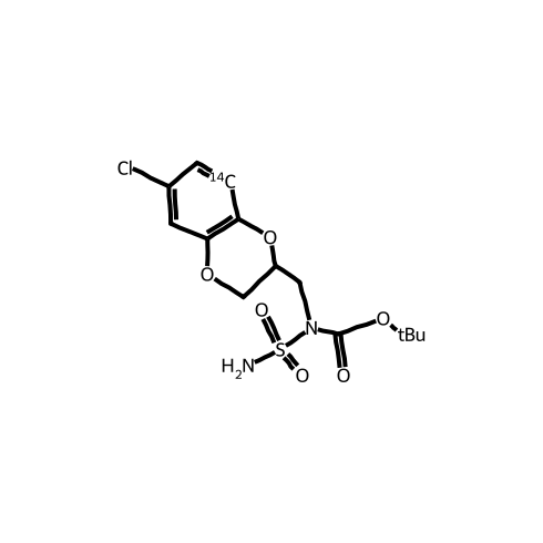 CC(C)(C)OC(=O)N(CC1COc2cc(Cl)c[14cH]c2O1)S(N)(=O)=O